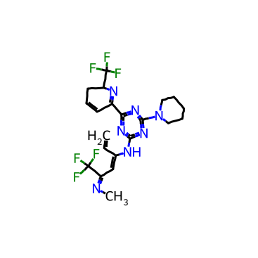 C=C/C(=C\C(=N/C)C(F)(F)F)Nc1nc(C2=NC(C(F)(F)F)CC=C2)nc(N2CCCCC2)n1